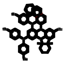 CC(C)(C)c1ccc(N(c2ccc(C(C)(C)C)cc2)c2cc3c4c(c2)N2c5c(cc(C(C)(C)C)cc5C5(C)CCCCC25C)B4c2ccc4oc5ccccc5c4c2N3c2ccc(C(C)(C)C)cc2-c2ccccc2)cc1